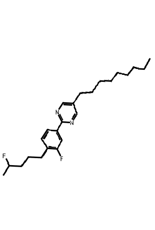 CCCCCCCCCc1cnc(-c2ccc(CCCC(C)F)c(F)c2)nc1